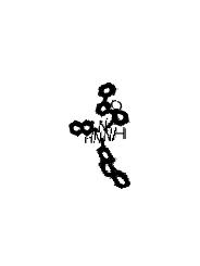 c1ccc(-c2cccc3c2oc2cccc(C4=NC(c5ccc6ccccc6c5)NC(c5ccc6c(ccc7ccccc76)c5)N4)c23)cc1